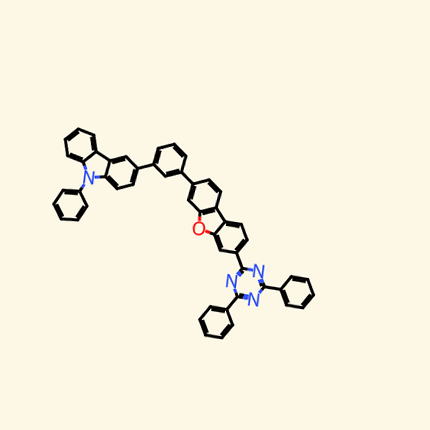 c1ccc(-c2nc(-c3ccccc3)nc(-c3ccc4c(c3)oc3cc(-c5cccc(-c6ccc7c(c6)c6ccccc6n7-c6ccccc6)c5)ccc34)n2)cc1